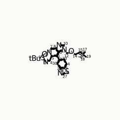 CC(C)(C)[S+]([O-])/N=C\c1ncc2ncn(COCC[Si](C)(C)C)c2c1-c1ccc2scnc2c1